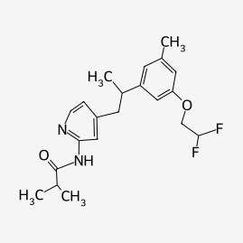 Cc1cc(OCC(F)F)cc(C(C)Cc2ccnc(NC(=O)C(C)C)c2)c1